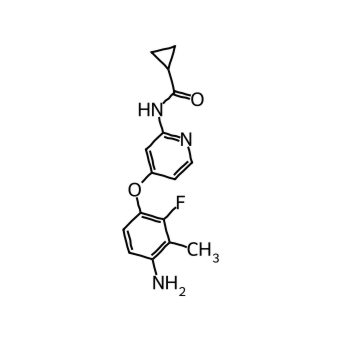 Cc1c(N)ccc(Oc2ccnc(NC(=O)C3CC3)c2)c1F